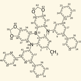 Cc1cc2c3c(c1)N(c1cc(-c4ccccc4)cc(-c4ccccc4)c1)c1cc4c(cc1B3c1cc3c(cc1N2c1cc(-c2ccccc2)cc(-c2ccccc2)c1)OCO3)OCO4